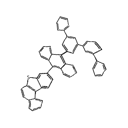 c1ccc(-c2cccc(-c3cc(-c4ccccc4)cc(-c4c5ccccc5c(-c5ccc6c(c5)sc5ccc7ccccc7c56)c5ccccc45)c3)c2)cc1